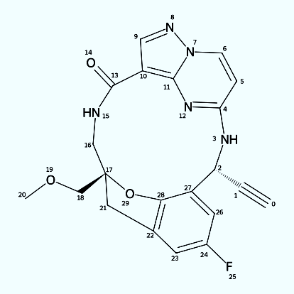 C#C[C@H]1Nc2ccn3ncc(c3n2)C(=O)NC[C@@]2(COC)Cc3cc(F)cc1c3O2